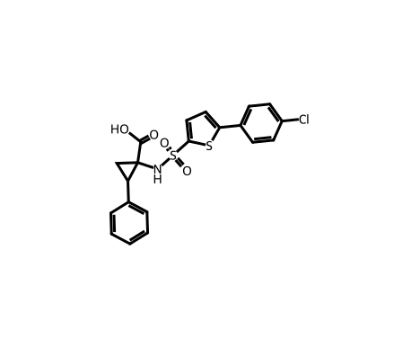 O=C(O)C1(NS(=O)(=O)c2ccc(-c3ccc(Cl)cc3)s2)CC1c1ccccc1